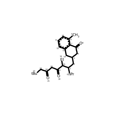 CCCC(CC1CC(=O)c2c(C)cccc2C1)C(CC)C(=O)CC(=O)CC(C)(C)C